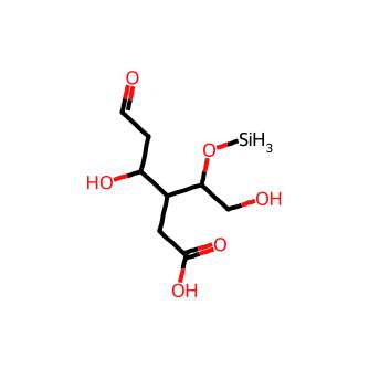 O=CCC(O)C(CC(=O)O)C(CO)O[SiH3]